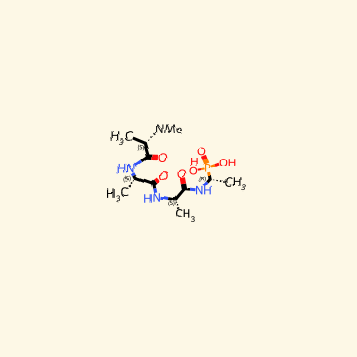 CN[C@@H](C)C(=O)N[C@@H](C)C(=O)N[C@@H](C)C(=O)N[C@@H](C)P(=O)(O)O